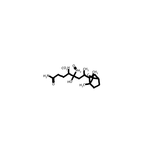 CC(CC(O)([PH2]=O)C(CCC(N)=O)C(=O)O)C1CC2CCC1(C)C2(C)C